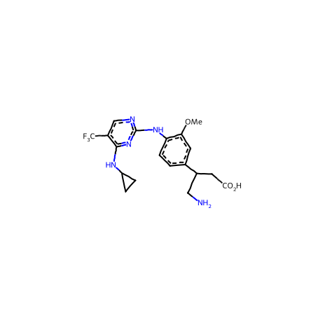 COc1cc(C(CN)CC(=O)O)ccc1Nc1ncc(C(F)(F)F)c(NC2CC2)n1